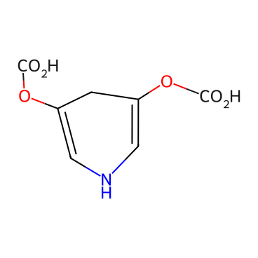 O=C(O)OC1=CNC=C(OC(=O)O)C1